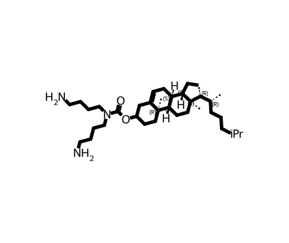 CC(C)CCC[C@@H](C)[C@H]1CC[C@H]2[C@@H]3CC=C4CC(OC(=O)N(CCCCN)CCCCN)CC[C@]4(C)[C@H]3CC[C@]12C